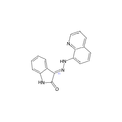 O=C1Nc2ccccc2/C1=N\Nc1cccc2cccnc12